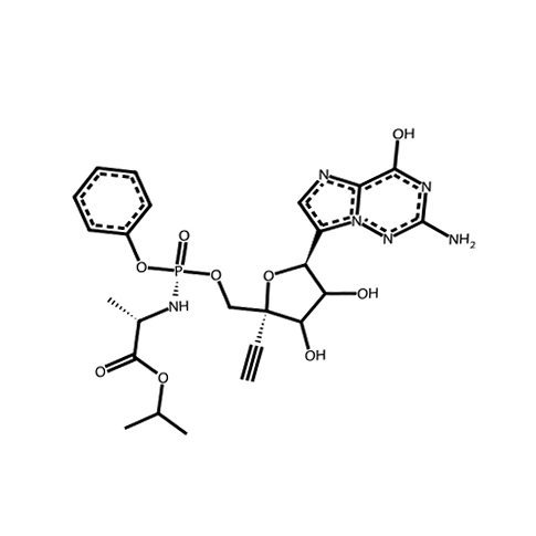 C#C[C@]1(CO[P@@](=O)(N[C@@H](C)C(=O)OC(C)C)Oc2ccccc2)O[C@@H](c2cnc3c(O)nc(N)nn23)C(O)C1O